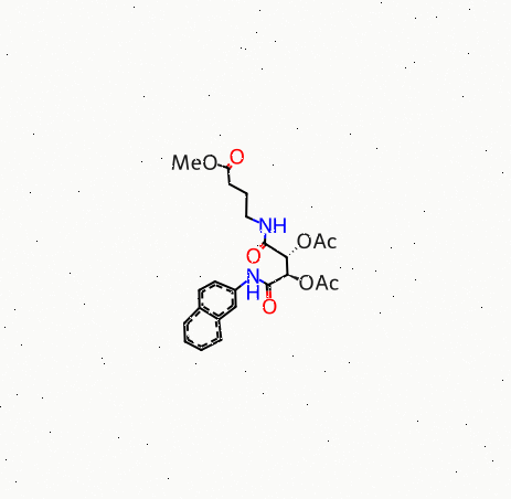 COC(=O)CCCNC(=O)[C@H](OC(C)=O)[C@@H](OC(C)=O)C(=O)Nc1ccc2ccccc2c1